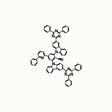 N#Cc1c(-n2c3ccccc3c3cc(-c4nc(-c5ccccc5)nc(-c5ccccc5)n4)ccc32)cc(-c2cccc(-c3ccccc3)n2)cc1-n1c2ccccc2c2cc(-c3nc(-c4ccccc4)nc(-c4ccccc4)n3)ccc21